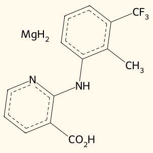 Cc1c(Nc2ncccc2C(=O)O)cccc1C(F)(F)F.[MgH2]